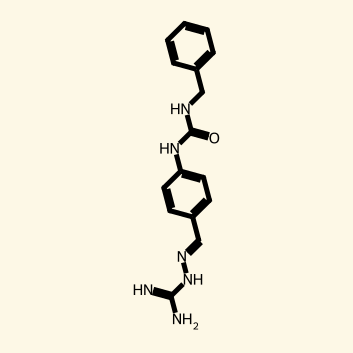 N=C(N)N/N=C/c1ccc(NC(=O)NCc2ccccc2)cc1